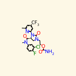 Cc1cc(C(F)(F)F)cc(N2C(=O)N(CCOC(N)=O)C[C@H]2C(=O)N(C)c2ccc(F)c(Cl)c2)n1